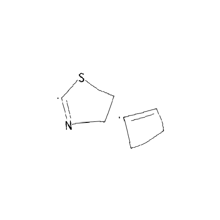 [C]1=CCC1.[C]1=NCCS1